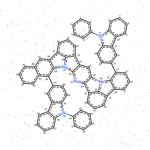 c1ccc(-n2c3ccccc3c3cc(-c4cccc5c6cccc7c8nc9c(cc8n(c45)c67)c4cccc5c6cc7ccccc7c(-c7ccc8c(c7)c7ccccc7n8-c7ccccc7)c6n9c45)ccc32)cc1